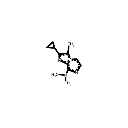 Cc1c(C2CC2)nc2c(N(C)C)nccn12